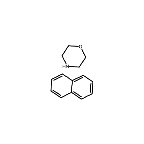 C1COCCN1.c1ccc2ccccc2c1